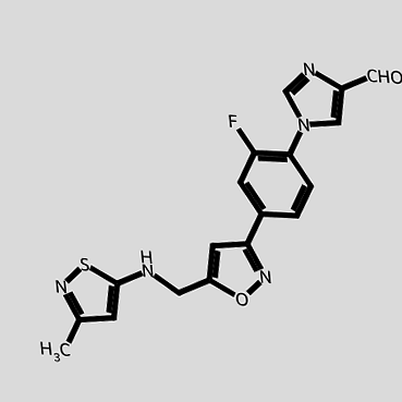 Cc1cc(NCc2cc(-c3ccc(-n4cnc(C=O)c4)c(F)c3)no2)sn1